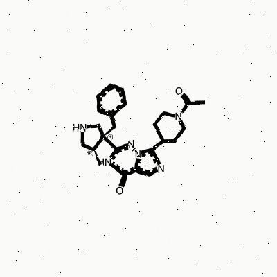 CC(=O)N1CCC(c2ncc3c(=O)[nH]c([C@@]4(Cc5ccccc5)CNC[C@@H]4C)nn23)CC1